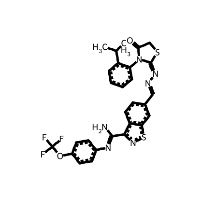 CC(C)c1ccccc1N1C(=O)CS/C1=N/N=C/c1ccc2c(/C(N)=N/c3ccc(OC(F)(F)F)cc3)nsc2c1